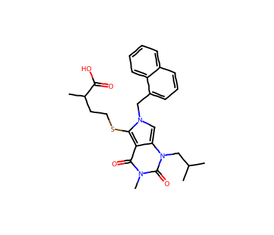 CC(C)Cn1c(=O)n(C)c(=O)c2c(SCCC(C)C(=O)O)n(Cc3cccc4ccccc34)cc21